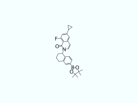 CC1(C)OB(c2ccc3c(c2)CCCC3n2ccc3cc(C4CC4)cc(F)c3c2=O)OC1(C)C